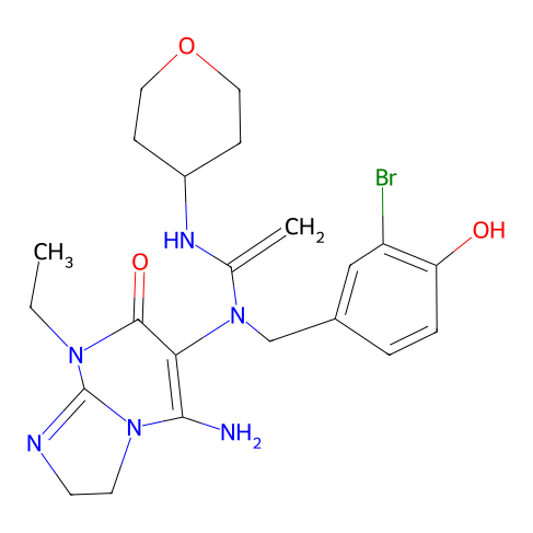 C=C(NC1CCOCC1)N(Cc1ccc(O)c(Br)c1)C1=C(N)N2CCN=C2N(CC)C1=O